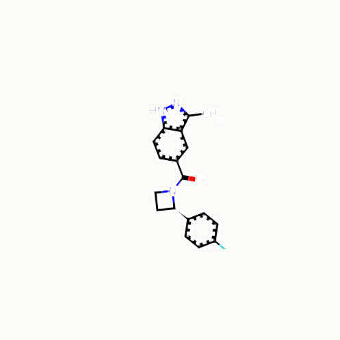 Cc1n[nH]c2ccc(C(=O)N3CC[C@@H]3c3ccc(F)cc3)cc12